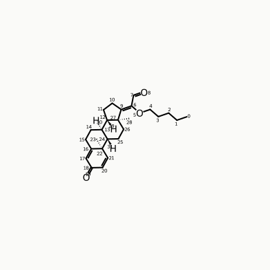 CCCCCOC(C=O)=C1CC[C@H]2[C@@H]3CCC4=CC(=O)C=C[C@]4(C)[C@H]3CC[C@]12C